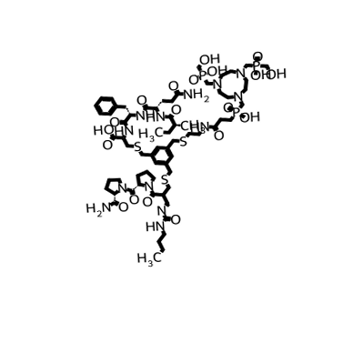 CCCCNC(=O)/N=C/C(CSCc1cc(CSCCNC(=O)CCP(=O)(O)CN2CCN(CP(=O)(O)CO)CCN(CP(=O)(O)CO)CC2)cc(CSCC(NC(=O)[C@H](Cc2ccccc2)NC(=O)[C@H](CCC(N)=O)NC(=O)[C@@H](C)CC)C(=O)O)c1)C(=O)N1CCC[C@H]1C(=O)N1CCC[C@H]1C(N)=O